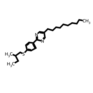 CCCCCCCCCCc1cnc(-c2ccc(SCC(C)CC)cc2)nc1